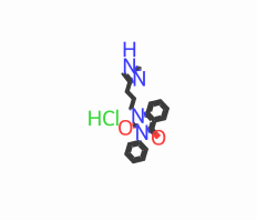 Cl.O=c1c2ccccc2n(CCCc2c[nH]cn2)c(=O)n1-c1ccccc1